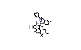 CCCCCC(C)(Pc1ccc(C)cc1/C=N/c1ccccc1)c1cc(C(C)(C)C)cc(C)c1O